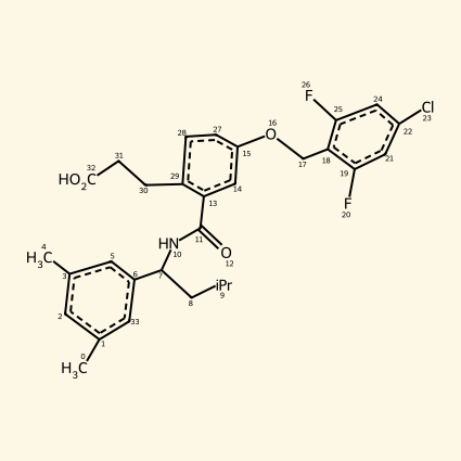 Cc1cc(C)cc(C(CC(C)C)NC(=O)c2cc(OCc3c(F)cc(Cl)cc3F)ccc2CCC(=O)O)c1